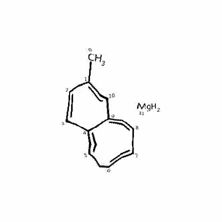 Cc1ccc2ccccc2c1.[MgH2]